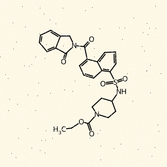 CCOC(=O)N1CCC(NS(=O)(=O)c2cccc3c(C(=O)N4Cc5ccccc5C4=O)cccc23)CC1